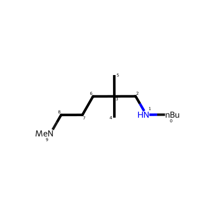 CCCCNCC(C)(C)CCCNC